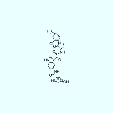 Cc1ccc(N2CCC(NC(=O)C(=O)c3c[nH]c4ccc(NC(=O)[C@@H]5C[C@@H](O)CN5)cc34)C2=O)c(Cl)c1